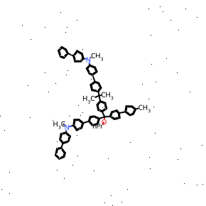 CCCOC(c1ccc(-c2ccc(C)cc2)cc1)(c1ccc(-c2ccc(N(C)c3ccc(-c4ccccc4)cc3)cc2)cc1)c1ccc(C(C)(C)c2ccc(-c3ccc(N(C)c4ccc(-c5ccccc5)cc4)cc3)cc2)cc1